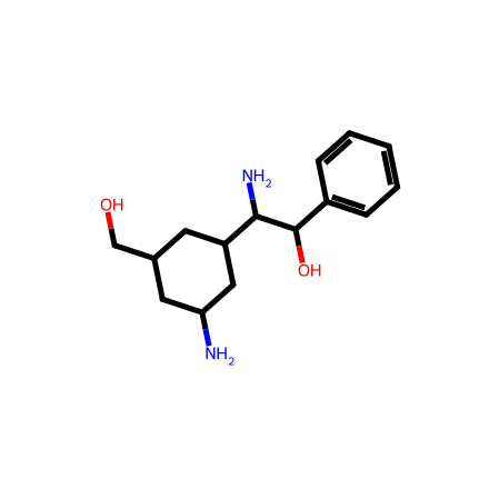 NC1CC(CO)CC(C(N)C(O)c2ccccc2)C1